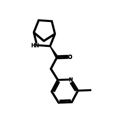 Cc1cccc(CC(=O)[C@H]2NC3CCC2C3)n1